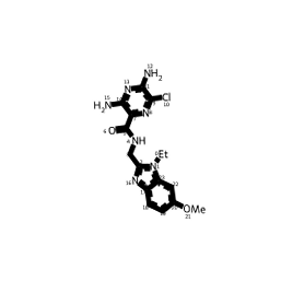 CCn1c(CNC(=O)c2nc(Cl)c(N)nc2N)nc2ccc(OC)cc21